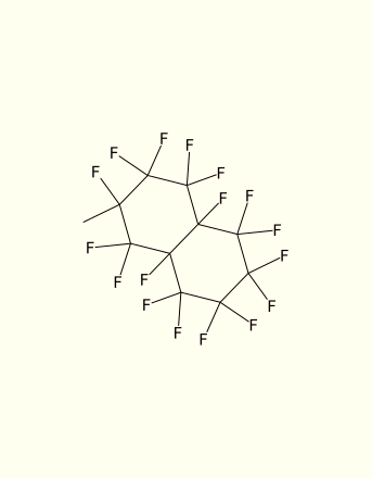 CC1(F)C(F)(F)C(F)(F)C2(F)C(F)(F)C(F)(F)C(F)(F)C(F)(F)C2(F)C1(F)F